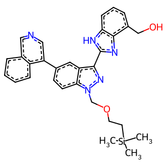 C[Si](C)(C)CCOCn1nc(-c2nc3c(CO)cccc3[nH]2)c2cc(-c3cncc4ccccc34)ccc21